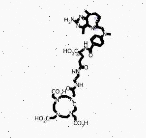 Cc1nc(N)nc2c1/N=C(CN(C)c1ccc(C(=O)N[C@@H](CCC(=O)NCCNC(=O)CN3CCN(CC(=O)O)CCN(CC(=O)O)CCN(CC(=O)O)CC3)C(=O)O)cc1)\C=C\CC2C